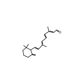 C=C1CCCC(C)(C)C1C=CC(C)=CC=CC(C)=CC=O